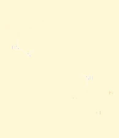 CC(Br)C(=O)Nc1ccc(C2=NNC(=O)C3CC23)cc1